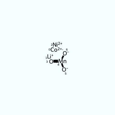 [Co+2].[Li+].[Ni+2].[O]=[Mn]([O-])[O-]